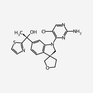 C[C@@](O)(c1ccc2c(c1)N(c1nc(N)ncc1Cl)C[C@]21CCOC1)c1nccs1